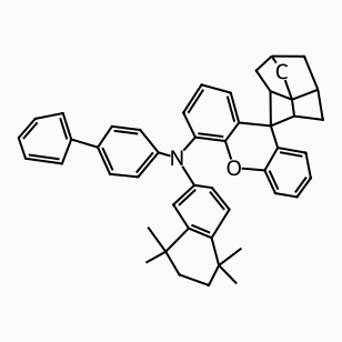 CC1(C)CCC(C)(C)c2cc(N(c3ccc(-c4ccccc4)cc3)c3cccc4c3Oc3ccccc3C43C4CC5CC6CC3C64C5)ccc21